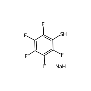 Fc1c(F)c(F)c(S)c(F)c1F.[NaH]